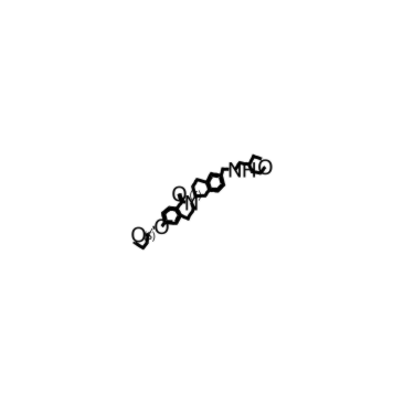 O=C1c2ccc(OC[C@@H]3CCCO3)cc2CCN1[C@H]1CCc2cc(CNCC3CCOCC3)ccc2C1